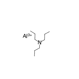 CCCN(CCC)CCC.[Al+3]